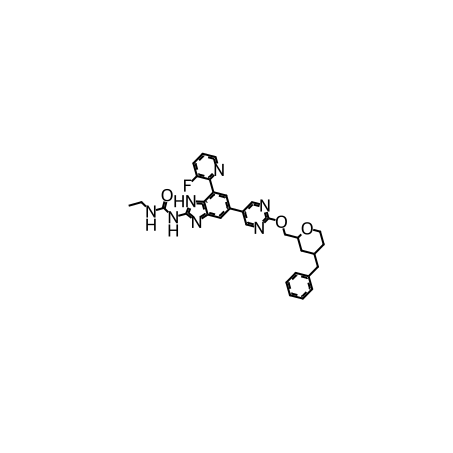 CCNC(=O)Nc1nc2cc(-c3cnc(OCC4CC(Cc5ccccc5)CCO4)nc3)cc(-c3ncccc3F)c2[nH]1